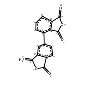 C=C1OC(=O)c2ccc(-c3cccc4c3C(=O)OC4=O)cc21